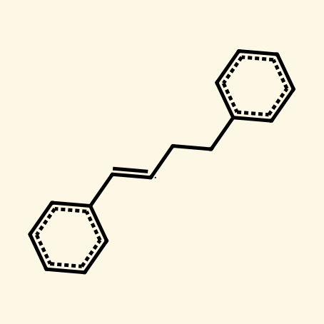 [C](=Cc1ccccc1)CCc1ccccc1